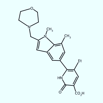 CCc1cc(C(=O)O)c(=O)[nH]c1-c1cc(C)c2c(c1)cc(CN1CCOCC1)n2C